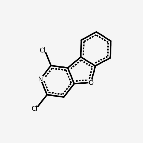 Clc1cc2oc3ccccc3c2c(Cl)n1